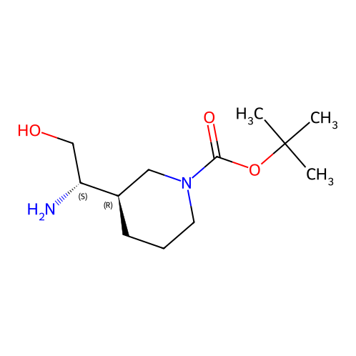 CC(C)(C)OC(=O)N1CCC[C@@H]([C@H](N)CO)C1